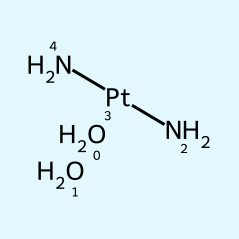 O.O.[NH2][Pt][NH2]